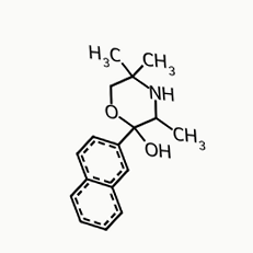 CC1NC(C)(C)COC1(O)c1ccc2ccccc2c1